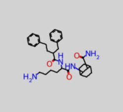 NCCCCC(NC(=O)C(CCc1ccccc1)Cc1ccccc1)C(=O)NC1C2CCC(CC2)C1C(N)=O